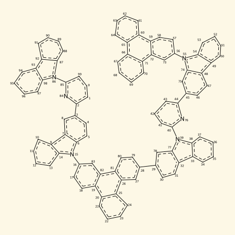 c1cc(-c2ccc3c(c2)c2ccccc2n3-c2ccc3c4ccccc4c4cc(-c5ccc6c7ccccc7n(-c7cccc(-c8ccc9c%10ccccc%10n(-c%10ccc%11c%12ccccc%12c%12ccccc%12c%11c%10)c9c8)n7)c6c5)ccc4c3c2)nc(-n2c3ccccc3c3ccccc32)c1